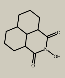 O=C1C2CCCC3CCCC(C(=O)N1O)C32